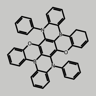 C1=CC2=C(CC1)B1c3ccccc3N(c3ccccc3)c3c4c5c(c(c31)O2)N(c1ccccc1)c1ccccc1B5c1ccccc1O4